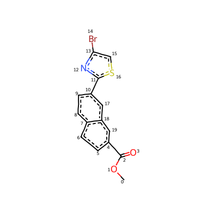 COC(=O)c1ccc2ccc(-c3nc(Br)cs3)cc2c1